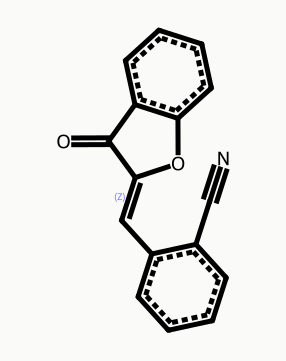 N#Cc1ccccc1/C=C1\Oc2ccccc2C1=O